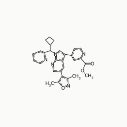 COC(=O)c1cc(-c2cn(C(c3ccccn3)C3CCC3)c3ncc(-c4c(C)noc4C)cc23)ccn1